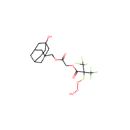 O=C(COC(=O)C(SOOO)(C(F)(F)F)C(F)(F)F)OCC12CC3CC(CC(O)(C3)C1)C2